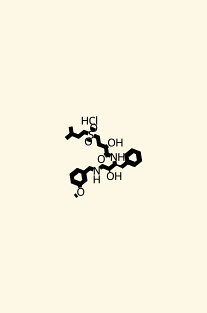 COc1cccc(CNC[C@@H](O)[C@H](Cc2ccccc2)NC(=O)C(O)CCS(=O)(=O)CCC(C)C)c1.Cl